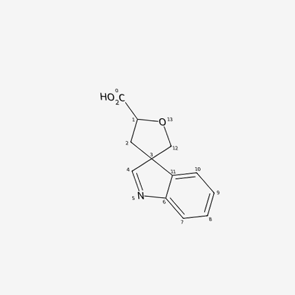 O=C(O)C1CC2(C=Nc3ccccc32)CO1